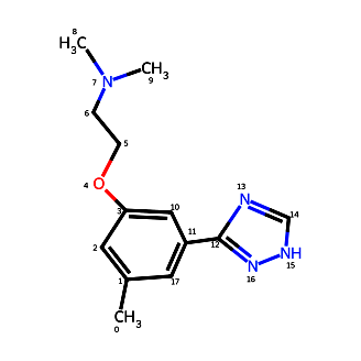 Cc1cc(OCCN(C)C)cc(-c2nc[nH]n2)c1